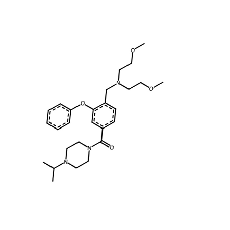 COCCN(CCOC)Cc1ccc(C(=O)N2CCN(C(C)C)CC2)cc1Oc1ccccc1